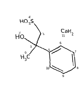 CC(O)(CS(=O)(=O)O)c1ccccc1.[CaH2]